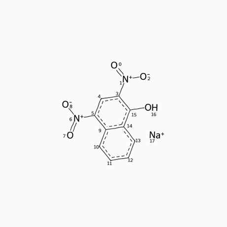 O=[N+]([O-])c1cc([N+](=O)[O-])c2ccccc2c1O.[Na+]